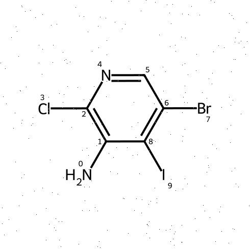 Nc1c(Cl)ncc(Br)c1I